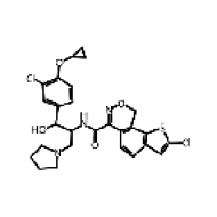 O=C(NC(CN1CCCC1)C(O)c1ccc(OC2CC2)c(Cl)c1)C1=NOCc2c1ccc1cc(Cl)sc21